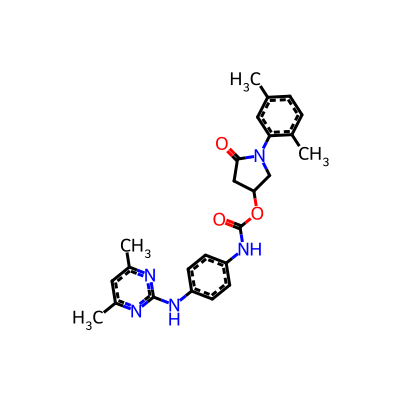 Cc1ccc(C)c(N2CC(OC(=O)Nc3ccc(Nc4nc(C)cc(C)n4)cc3)CC2=O)c1